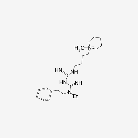 CCN(CCc1ccccc1)C(=N)NC(=N)NCCCC[N+]1(C)CCCCC1